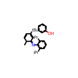 CC1C=CC(C(C)(C)C)=CC1=Nc1c(C(C)C)cccc1C(C)C.Oc1ccccc1